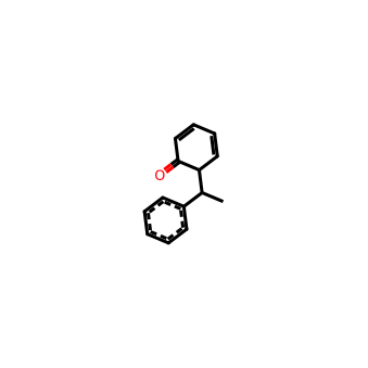 CC(c1ccccc1)C1C=CC=CC1=O